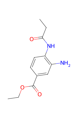 CCOC(=O)c1ccc(NC(=O)CC)c(N)c1